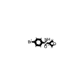 N=S(=O)(c1ccc(Br)cc1)C1COC1